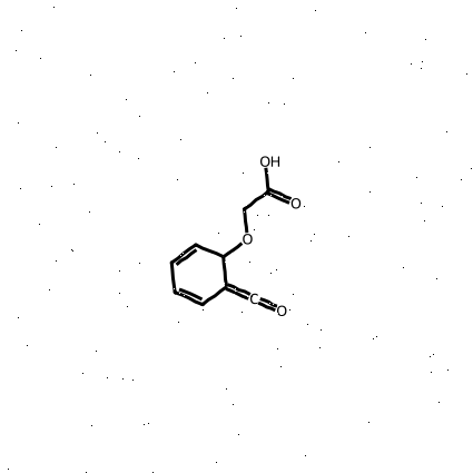 O=C=C1C=CC=CC1OCC(=O)O